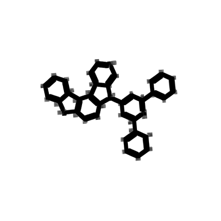 c1ccc(-c2cc(-n3c4cnccc4c4c5c(ccc43)sc3ccccc35)cc(-c3ccccc3)n2)cc1